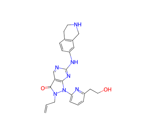 C=CCn1c(=O)c2cnc(Nc3ccc4c(c3)CNCC4)nc2n1-c1cccc(CCO)n1